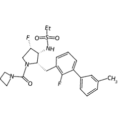 CCS(=O)(=O)N[C@H]1[C@@H](F)CN(C(=O)N2CCC2)[C@H]1Cc1cccc(-c2cccc(C)c2)c1F